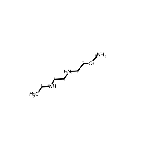 CCNCCNCCON